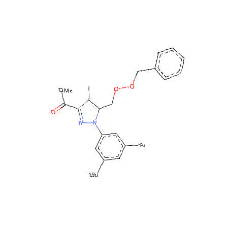 COC(=O)C1=NN(c2cc(C(C)(C)C)cc(C(C)(C)C)c2)C(COOCc2ccccc2)C1C